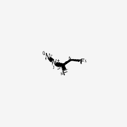 [N-]=[N+]=C(F)CF